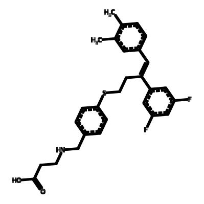 Cc1ccc(/C=C(\CCSc2ccc(CNCCC(=O)O)cc2)c2cc(F)cc(F)c2)cc1C